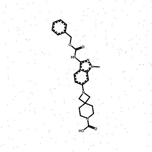 Cn1nc(NC(=O)OCc2ccccc2)c2ccc(N3CC4(CCN(C(=O)O)CC4)C3)cc21